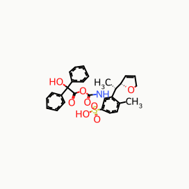 Cc1ccc(S(=O)(=O)O)c(NC(=O)OC(=O)C(O)(c2ccccc2)c2ccccc2)c1[C@H](C)[C@@H]1C=CCO1